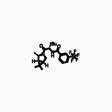 C[C@@H]1[C@@H]2[C@H](CN1C(=O)[C@@H](NC(=O)c1cccc(S(F)(F)(F)(F)F)c1)C(C)(C)C)C2(C)C